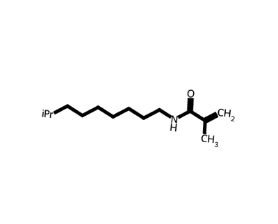 C=C(C)C(=O)NCCCCCCCC(C)C